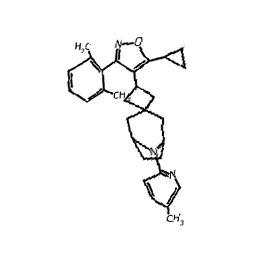 Cc1ccc(N2C3CCC2CC2(CC(c4c(-c5c(C)cccc5C)noc4C4CC4)C2)C3)nc1